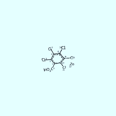 O=C(O)c1c(Cl)c(Cl)c(Cl)c(Cl)c1Cl.[Zn]